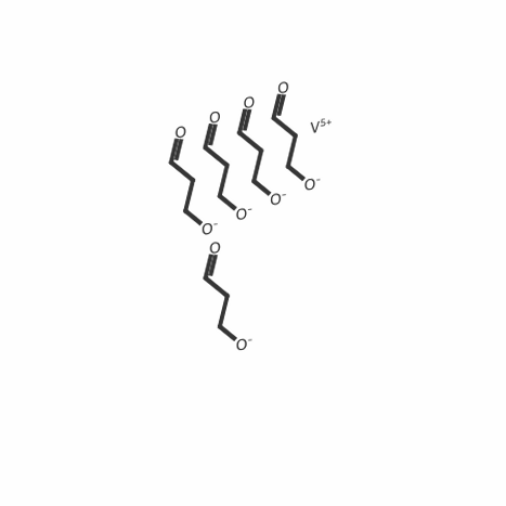 O=CCC[O-].O=CCC[O-].O=CCC[O-].O=CCC[O-].O=CCC[O-].[V+5]